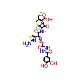 Nc1nc(C(=NOCC(=O)NNC(=O)c2ccc(O)c(O)c2)C(=O)NC2C(=O)N3C(C(=O)O)=C(CCl)CS[C@H]23)cs1